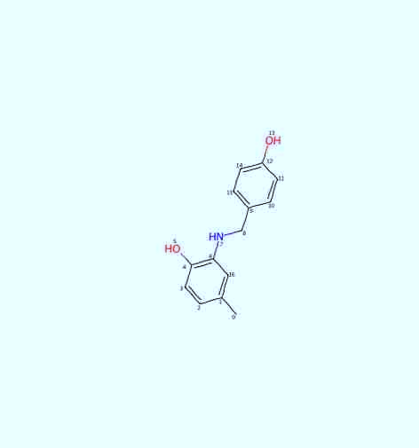 Cc1ccc(O)c(NCc2ccc(O)cc2)c1